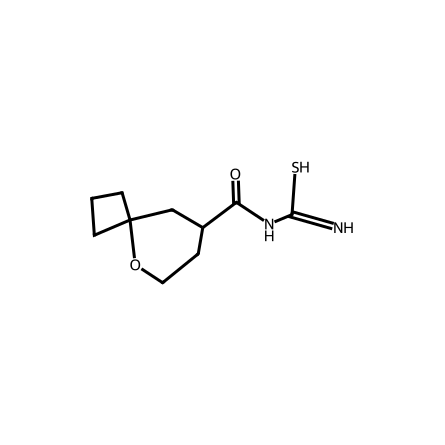 N=C(S)NC(=O)C1CCOC2(CCC2)C1